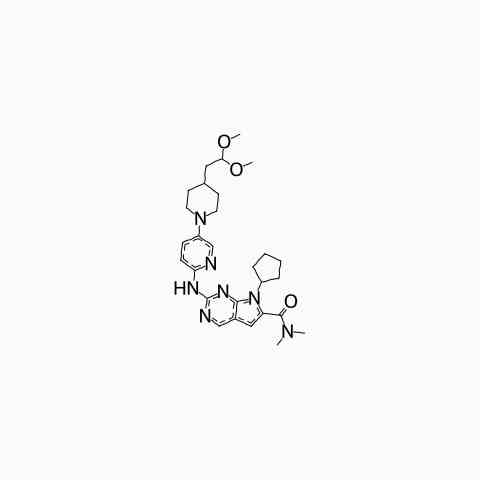 COC(CC1CCN(c2ccc(Nc3ncc4cc(C(=O)N(C)C)n(C5CCCC5)c4n3)nc2)CC1)OC